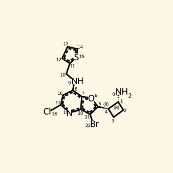 N[C@@H]1CC[C@H]1c1oc2c(NCc3cccs3)cc(Cl)nc2c1Br